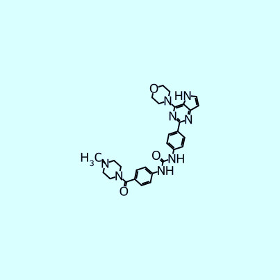 CN1CCN(C(=O)c2ccc(NC(=O)Nc3ccc(-c4nc(N5CCOCC5)c5[nH]ccc5n4)cc3)cc2)CC1